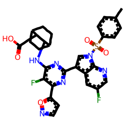 Cc1ccc(S(=O)(=O)n2cc(-c3nc(NC4C5CCC(CC5)C4C(=O)O)c(F)c(-c4ccno4)n3)c3cc(F)cnc32)cc1